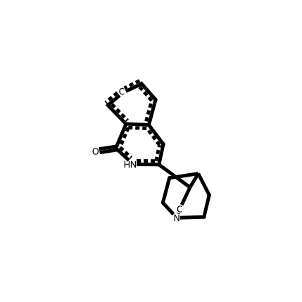 O=c1[nH]c(C2CN3CCC2CC3)cc2ccccc12